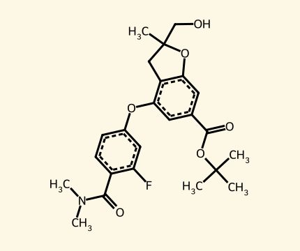 CN(C)C(=O)c1ccc(Oc2cc(C(=O)OC(C)(C)C)cc3c2CC(C)(CO)O3)cc1F